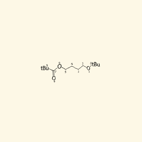 CC(C)(C)OCCCCOC(=O)C(C)(C)C